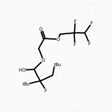 CC(C)(C)CC(F)(C(O)OCC(=O)OCC(F)(F)C(F)F)C(C)(C)C